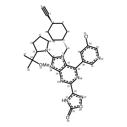 C#C[C@H]1CC[C@H](Cn2c(N3CCCC3C(C)(C)OC)nc3nc(-c4noc(=O)[nH]4)nc(-c4cncc(Cl)c4)c32)CC1